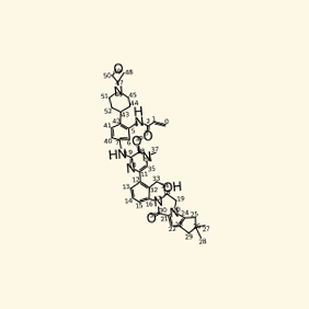 C=CC(=O)Nc1cc(Nc2nc(-c3cccc(N4CCn5c(cc6c5CC(C)(C)C6)C4=O)c3CO)cn(C)c2=O)ccc1C1CCN(C2COC2)CC1